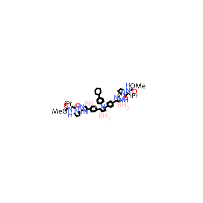 Bc1cc(-c2ccc(-c3nc([C@@H]4CCCN4C(=O)[C@@H](NC(=O)OC)C(C)C)[nH]c3B)cc2)n(-c2ccc(C3CCCCC3)cc2)c1-c1ccc(-c2nc([C@@H]3CCCN3C(=O)[C@@H](NC(=O)OC)C(C)C)[nH]c2B)cc1